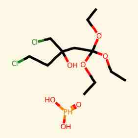 CCOC(CC(O)(CCl)CCCl)(OCC)OCC.O=[PH](O)O